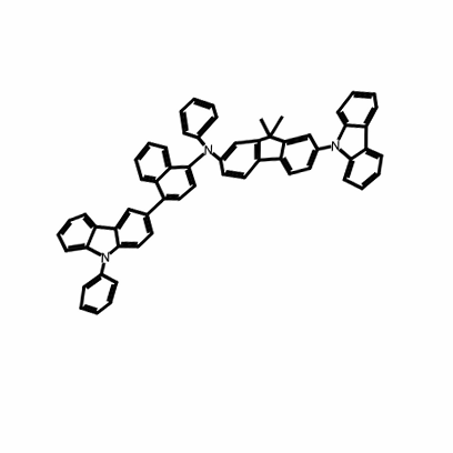 CC1(C)c2cc(N(c3ccccc3)c3ccc(-c4ccc5c(c4)c4ccccc4n5-c4ccccc4)c4ccccc34)ccc2-c2ccc(-n3c4ccccc4c4ccccc43)cc21